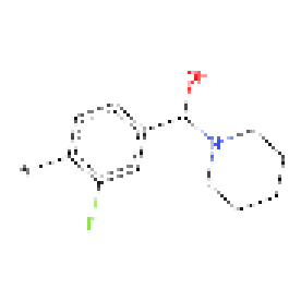 CC(C)c1ccc(C(O)N2CCCCC2)cc1F